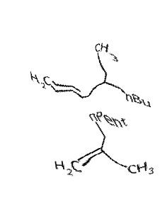 C=C(C)CCCCC.C=CC(C)CCCC